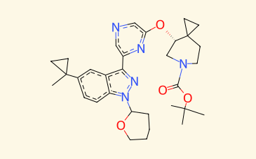 CC(C)(C)OC(=O)N1CCC2(CC2)[C@@H](Oc2cncc(-c3nn(C4CCCCO4)c4ccc(C5(C)CC5)cc34)n2)C1